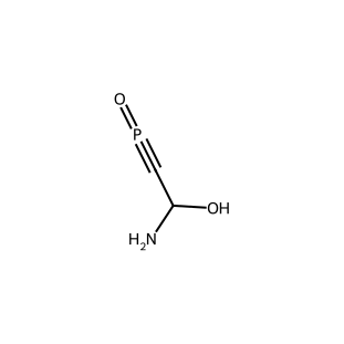 NC(O)C#P=O